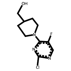 OCC1CCN(c2nc(Cl)ncc2F)CC1